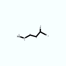 FC(F)CCSS